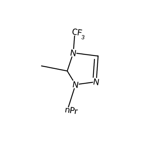 CCCN1N=CN(C(F)(F)F)C1C